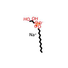 CCCCCCCCCCCCOP(=O)([O-])OCC(O)CO.[Na+]